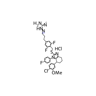 CN=C(N)N/N=C/CCc1cc(F)c(CSc2nc3c(n2-c2ccc(F)cc2)C(c2ccc(Cl)c(OC)c2)CCC3)c(F)c1.Cl